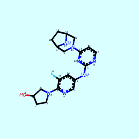 OC1CCN(c2ncc(Nc3nccc(N4CC5CCC(C4)N5)n3)cc2F)C1